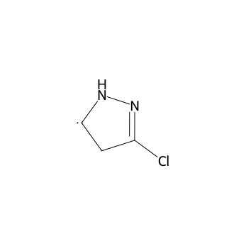 ClC1=NN[CH]C1